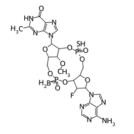 B[P@@]1(=O)OCC2OC(n3cnc4c(=O)[nH]c(C)nc43)C(O[P@](=O)(S)OCC3OC(n4cnc5c(N)ncnc54)C(F)C3O1)C2OC